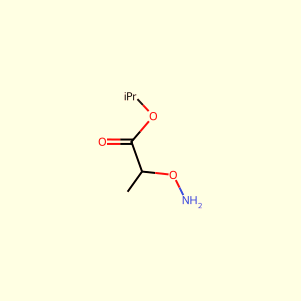 CC(C)OC(=O)C(C)ON